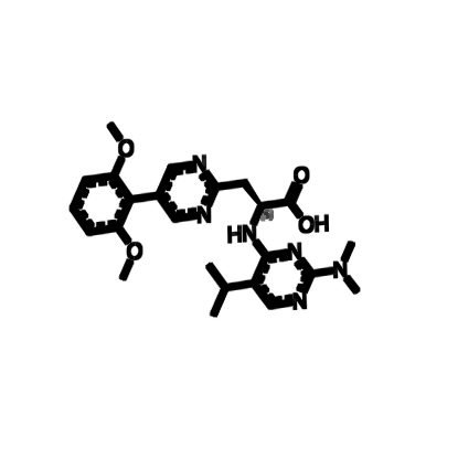 COc1cccc(OC)c1-c1cnc(C[C@H](Nc2nc(N(C)C)ncc2C(C)C)C(=O)O)nc1